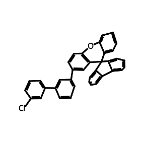 Clc1cccc(-c2cccc(-c3ccc4c(c3)C3(c5ccccc5O4)c4ccccc4-c4ccccc43)c2)c1